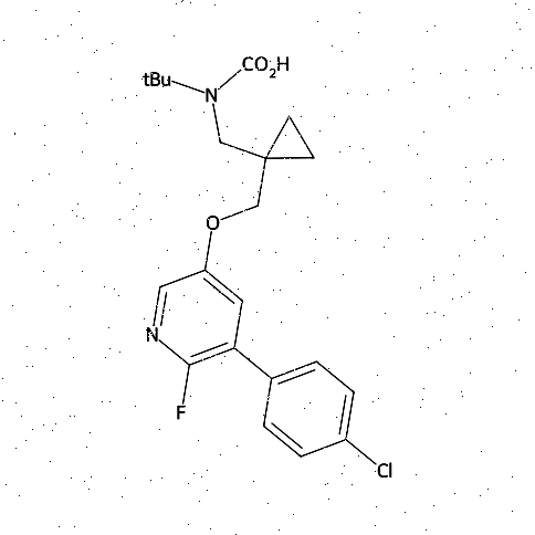 CC(C)(C)N(CC1(COc2cnc(F)c(-c3ccc(Cl)cc3)c2)CC1)C(=O)O